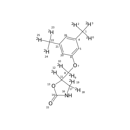 [2H]C([2H])([2H])c1cc(OC([2H])([2H])C2([2H])OC(=O)NC2([2H])[2H])cc(C([2H])([2H])[2H])c1